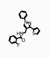 O=C(NCc1cn(-c2ccccc2)nc1-c1cccs1)c1ccccc1F